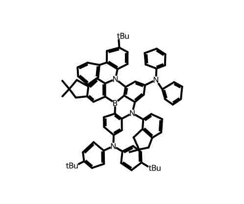 CC1(C)Cc2cc3c(cc2C1)N(c1ccc(C(C)(C)C)cc1-c1ccccc1)c1cc(N(c2ccccc2)c2ccccc2)cc2c1B3c1ccc(N(c3ccc(C(C)(C)C)cc3)c3ccc(C(C)(C)C)cc3)cc1N2c1cccc2c1CC(C)(C)C2